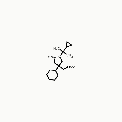 COCC(COC)(COC(C)(C)C1CC1)C1CCCCC1